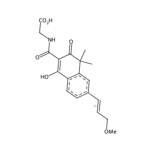 COC/C=C/c1ccc2c(c1)C(C)(C)C(=O)C(C(=O)NCC(=O)O)=C2O